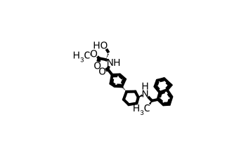 COC(=O)[C@H](CO)NC(=O)c1ccc([C@H]2CCC[C@H](N[C@H](C)c3cccc4ccccc34)C2)cc1